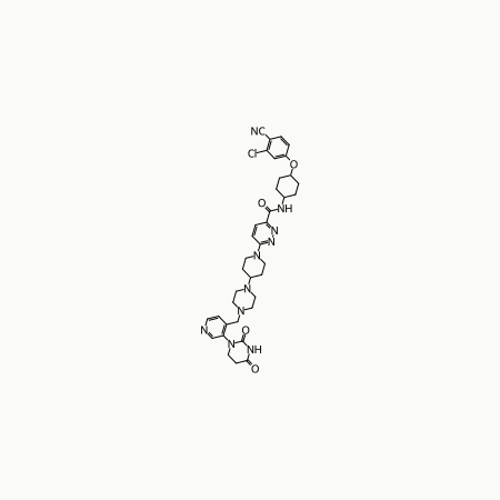 N#Cc1ccc(OC2CCC(NC(=O)c3ccc(N4CCC(N5CCN(Cc6ccncc6N6CCC(=O)NC6=O)CC5)CC4)nn3)CC2)cc1Cl